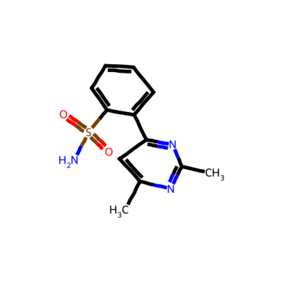 Cc1cc(-c2ccccc2S(N)(=O)=O)nc(C)n1